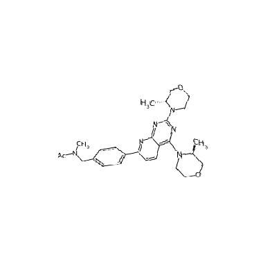 CC(=O)N(C)Cc1ccc(-c2ccc3c(N4CCOC[C@@H]4C)nc(N4CCOC[C@H]4C)nc3n2)cc1